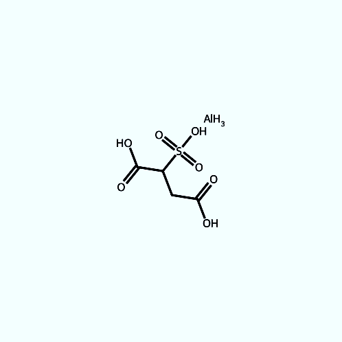 O=C(O)CC(C(=O)O)S(=O)(=O)O.[AlH3]